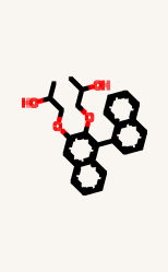 CC(O)COc1cc2ccccc2c(-c2cccc3ccccc23)c1OCC(C)O